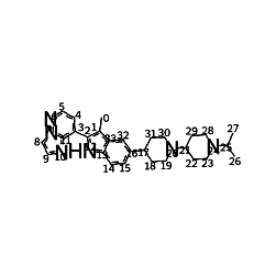 Cc1c(-c2ccnn3ccnc23)[nH]c2ccc(C3CCN(C4CCN(C(C)C)CC4)CC3)cc12